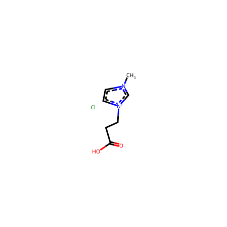 Cn1cc[n+](CCC(=O)O)c1.[Cl-]